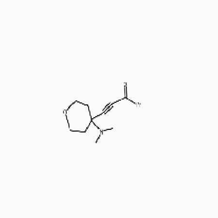 CC(C)C(=O)C#CC1(N(C)C)CCOCC1